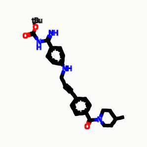 CC1CCN(C(=O)c2ccc(C#CCNc3ccc(C(=N)NC(=O)OC(C)(C)C)cc3)cc2)CC1